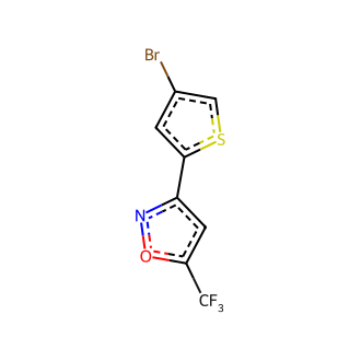 FC(F)(F)c1cc(-c2cc(Br)cs2)no1